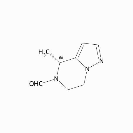 C[C@@H]1c2ccnn2CCN1C=O